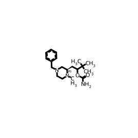 CN1CCN(Cc2ccccc2)C[C@H]1CC(OC(N)=O)C(C)(C)C